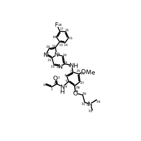 C=CC(=O)Nc1cc(Nc2cn3c(-c4cccc(F)c4)cnc3cn2)c(OC)cc1OCCN(C)C